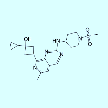 Cc1cc2cnc(NC3CCN(S(C)(=O)=O)CC3)nc2c(C2CC(O)(C3CC3)C2)n1